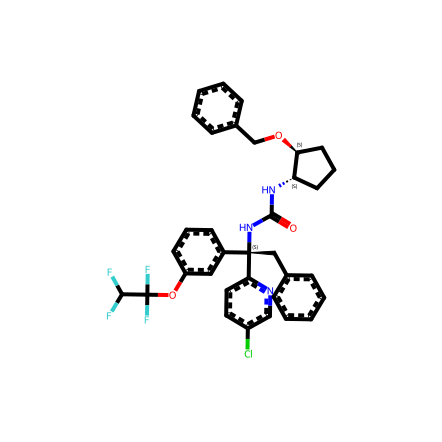 O=C(N[C@H]1CCC[C@@H]1OCc1ccccc1)N[C@@](Cc1ccccc1)(c1cccc(OC(F)(F)C(F)F)c1)c1ccc(Cl)cn1